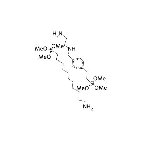 CO[Si](CCCCCCCCCCCN)(OC)OC.CO[Si](CCc1ccc(CNCCN)cc1)(OC)OC